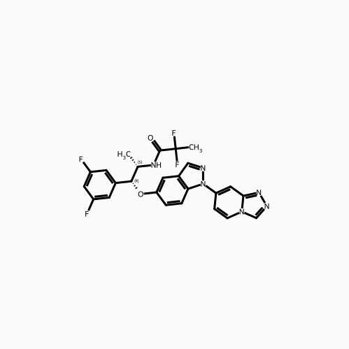 C[C@H](NC(=O)C(C)(F)F)[C@H](Oc1ccc2c(cnn2-c2ccn3cnnc3c2)c1)c1cc(F)cc(F)c1